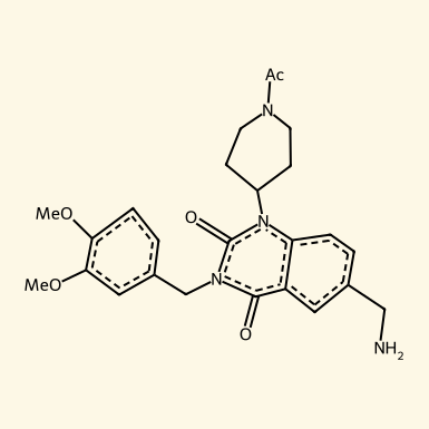 COc1ccc(Cn2c(=O)c3cc(CN)ccc3n(C3CCN(C(C)=O)CC3)c2=O)cc1OC